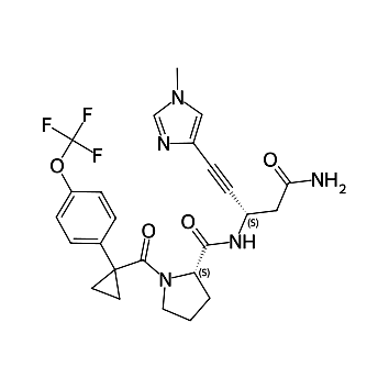 Cn1cnc(C#C[C@H](CC(N)=O)NC(=O)[C@@H]2CCCN2C(=O)C2(c3ccc(OC(F)(F)F)cc3)CC2)c1